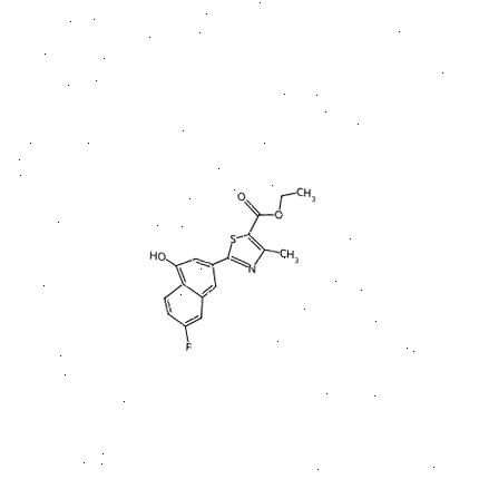 CCOC(=O)c1sc(-c2cc(O)c3ccc(F)cc3c2)nc1C